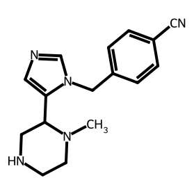 CN1CCNCC1c1cncn1Cc1ccc(C#N)cc1